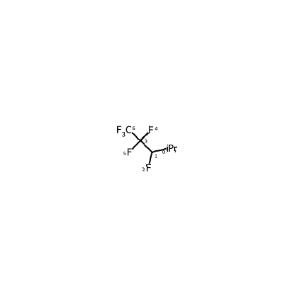 CC(C)C(F)C(F)(F)C(F)(F)F